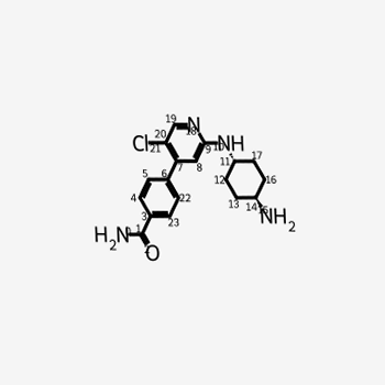 NC(=O)c1ccc(-c2cc(N[C@H]3CC[C@H](N)CC3)ncc2Cl)cc1